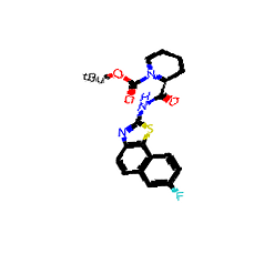 CC(C)(C)OC(=O)N1CCCC[C@H]1C(=O)Nc1nc2ccc3cc(F)ccc3c2s1